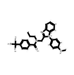 CCCN(Cc1nc2ccccc2n1-c1ccc(OC)cc1)C(=O)c1ccc(C(F)(F)F)cc1